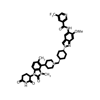 COc1cc2nn([C@H]3CC[C@H](CN4CCC(c5c(C)ccc6c5n(C)c(=O)n6C5CCC(=O)NC5=O)CC4)CC3)cc2cc1NC(=O)c1cncc(C(F)(F)F)c1